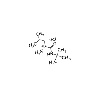 CC(C)C[C@@H](N)C(=O)NC(C)(C)C.Cl